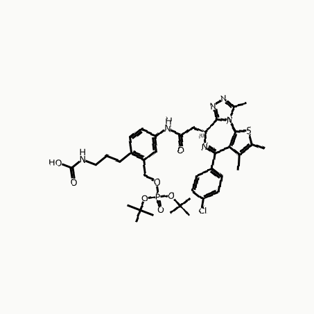 Cc1sc2c(c1C)C(c1ccc(Cl)cc1)=N[C@@H](CC(=O)Nc1ccc(CCCNC(=O)O)c(COP(=O)(OC(C)(C)C)OC(C)(C)C)c1)c1nnc(C)n1-2